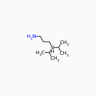 CC(C)[SiH](CCCN)C(C)C